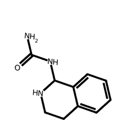 NC(=O)NC1NCCc2ccccc21